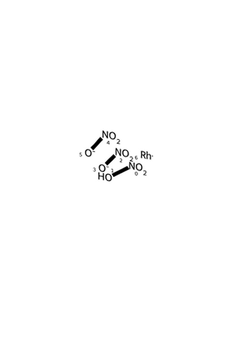 O=[N+]([O-])O.O=[N+]([O-])[O-].O=[N+]([O-])[O-].[Rh]